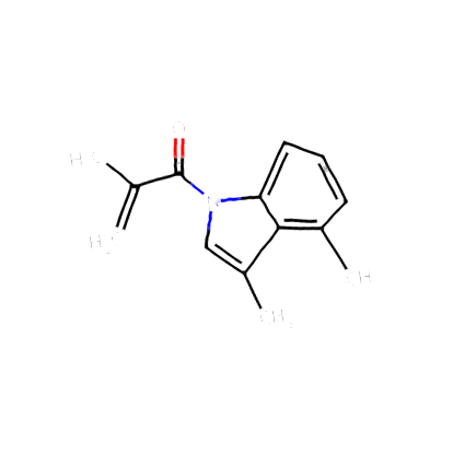 C=C(C)C(=O)n1cc(C)c2c(C)cccc21